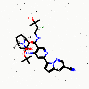 CC(C)(C)OC(=O)N1[C@@H]2CC[C@H]1C[C@H](Nc1cc(-c3ccc4cc(C#N)cnn34)ncc1C(=O)NC[C@@H](F)C(C)(C)O)C2